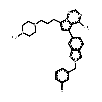 CN1CCN(CCCc2cc(-c3ccc4cn(Cc5cccc(Cl)c5)nc4c3)c3c(N)ncnn23)CC1